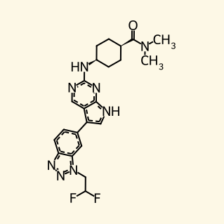 CN(C)C(=O)[C@H]1CC[C@@H](Nc2ncc3c(-c4ccc5nnn(CC(F)F)c5c4)c[nH]c3n2)CC1